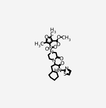 COC(=O)c1c(C)oc(C)c1S(=O)(=O)N1CCN(C(CC2CCCCC2)C(=O)Nc2nccs2)C(=O)C1